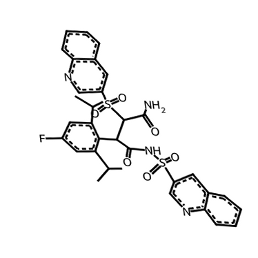 CC(C)c1cc(F)cc(C(C)C)c1C(C(=O)NS(=O)(=O)c1cnc2ccccc2c1)C(C(N)=O)S(=O)(=O)c1cnc2ccccc2c1